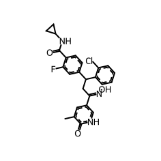 Cc1cc(/C(CC(c2ccc(C(=O)NC3CC3)c(F)c2)c2ccccc2Cl)=N/O)c[nH]c1=O